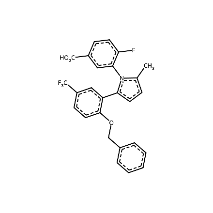 Cc1ccc(-c2cc(C(F)(F)F)ccc2OCc2ccccc2)n1-c1cc(C(=O)O)ccc1F